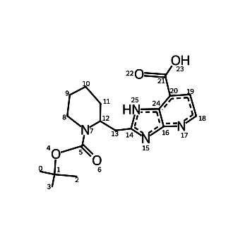 CC(C)(C)OC(=O)N1CCCCC1Cc1nc2nccc(C(=O)O)c2[nH]1